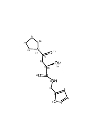 O=C(NCc1ccco1)[C@H](O)CC(=O)N1CCCC1